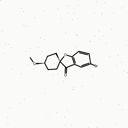 CO[C@H]1CC[C@@]2(CC1)Oc1ccc(Br)cc1C2=O